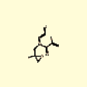 C=C(C)C(=O)N(C=CCC)CC1(C)CO1